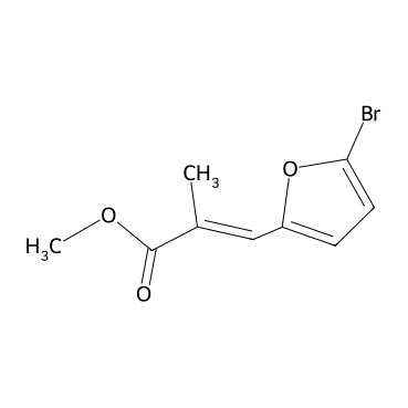 COC(=O)/C(C)=C/c1ccc(Br)o1